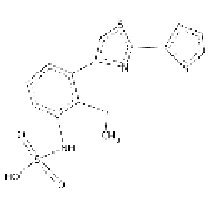 CCc1c(NS(=O)(=O)O)cccc1-c1csc(-c2cccs2)n1